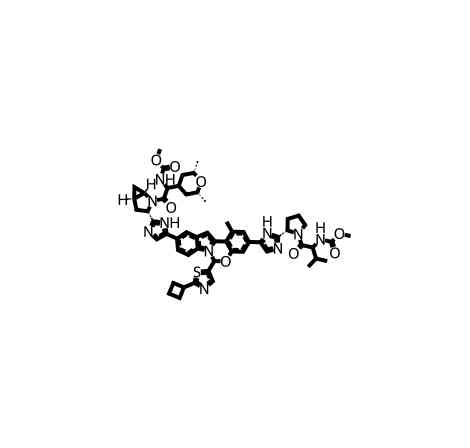 COC(=O)NC(C(=O)N1CCC[C@H]1c1ncc(-c2cc(C)c3c(c2)OC(c2cnc(C4CCC4)s2)n2c-3cc3cc(-c4cnc([C@@H]5C[C@H]6C[C@H]6N5C(=O)C(NC(=O)OC)C5C[C@@H](C)O[C@@H](C)C5)[nH]4)ccc32)[nH]1)C(C)C